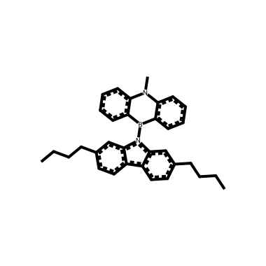 CCCCc1ccc2c3ccc(CCCC)cc3n(B3c4ccccc4N(C)c4ccccc43)c2c1